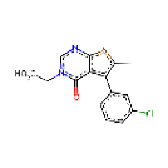 Cc1sc2ncn(CC(=O)O)c(=O)c2c1-c1cccc(Cl)c1